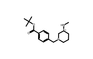 CN[C@H]1CCCN(Cc2ccc(C(=O)OC(C)(C)C)cc2)C1